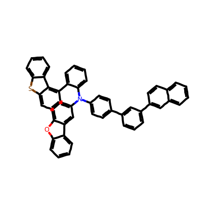 c1cc(-c2ccc(N(c3ccc4oc5ccccc5c4c3)c3ccccc3-c3cccc4sc5ccccc5c34)cc2)cc(-c2ccc3ccccc3c2)c1